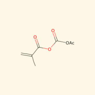 C=C(C)C(=O)OC(=O)OC(C)=O